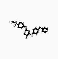 NS(=O)(=O)c1ccc(Nc2ncc(F)c(Nc3ccc(Cc4ccncc4)cc3)n2)cc1